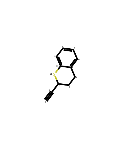 C#CC1CCc2ccccc2S1